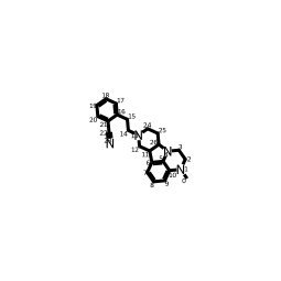 CN1CCN2c3c(cccc31)C1CN(CCc3ccccc3C#N)CCC12